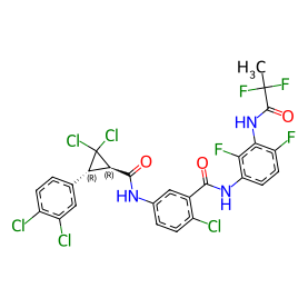 CC(F)(F)C(=O)Nc1c(F)ccc(NC(=O)c2cc(NC(=O)[C@H]3[C@H](c4ccc(Cl)c(Cl)c4)C3(Cl)Cl)ccc2Cl)c1F